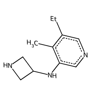 CCc1cncc(NC2CNC2)c1C